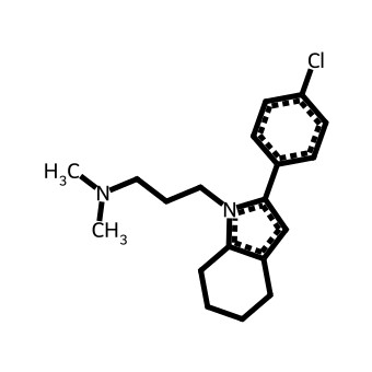 CN(C)CCCn1c(-c2ccc(Cl)cc2)cc2c1CCCC2